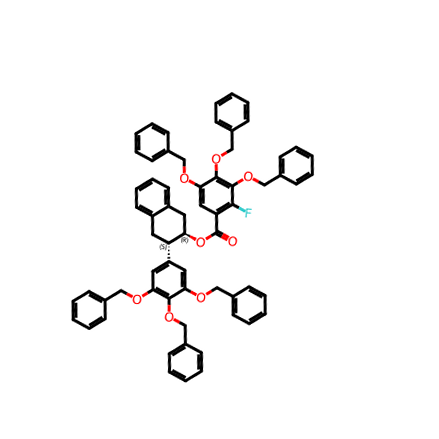 O=C(O[C@@H]1Cc2ccccc2C[C@H]1c1cc(OCc2ccccc2)c(OCc2ccccc2)c(OCc2ccccc2)c1)c1cc(OCc2ccccc2)c(OCc2ccccc2)c(OCc2ccccc2)c1F